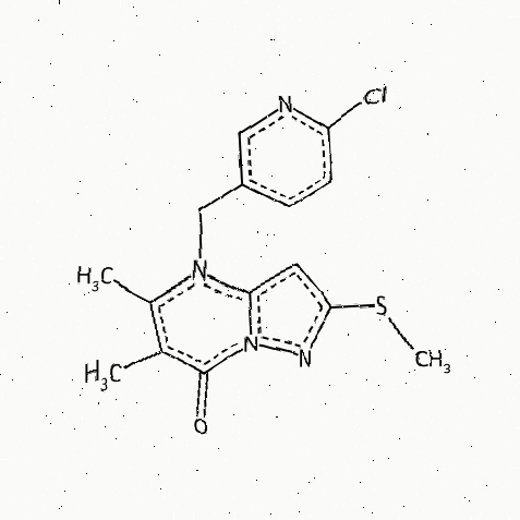 CSc1cc2n(Cc3ccc(Cl)nc3)c(C)c(C)c(=O)n2n1